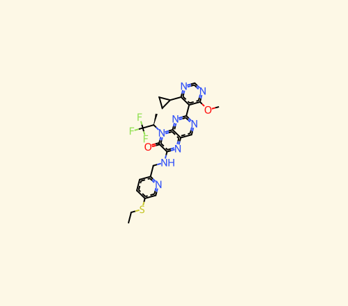 CCSc1ccc(CNc2nc3cnc(-c4c(OC)ncnc4C4CC4)nc3n([C@H](C)C(F)(F)F)c2=O)nc1